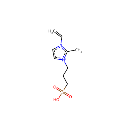 C=Cn1cc[n+](CCCS(=O)(=O)O)c1C